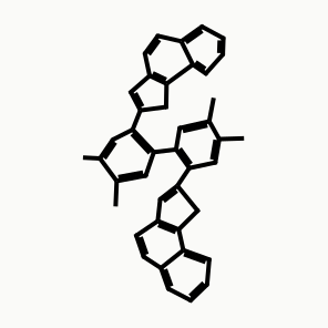 Cc1cc(C2=Cc3ccc4ccccc4c3C2)c(-c2cc(C)c(C)cc2C2=Cc3ccc4ccccc4c3C2)cc1C